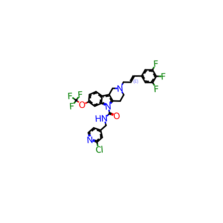 O=C(NCc1ccnc(Cl)c1)n1c2c(c3ccc(OC(F)(F)F)cc31)CN(C/C=C/c1cc(F)c(F)c(F)c1)CC2